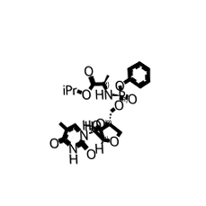 Cc1cn([C@@H]2O[C@@]3(CO[P@](=O)(N[C@H](C)C(=O)OC(C)C)Oc4ccccc4)CO[C@@H]2[C@@H]3O)c(=O)[nH]c1=O